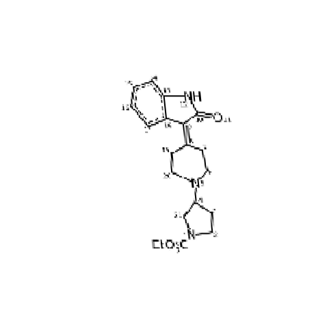 CCOC(=O)N1CCC(N2CCC(=C3C(=O)Nc4ccccc43)CC2)C1